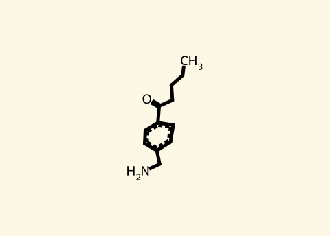 CCCCC(=O)c1ccc(CN)cc1